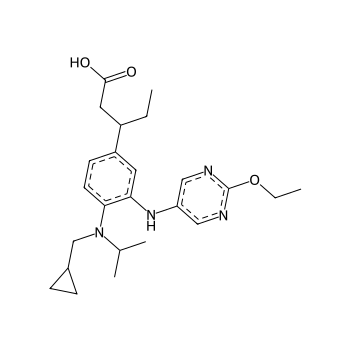 CCOc1ncc(Nc2cc(C(CC)CC(=O)O)ccc2N(CC2CC2)C(C)C)cn1